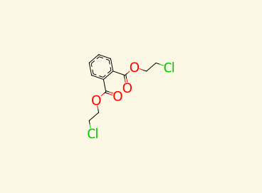 O=C(OCCCl)c1ccccc1C(=O)OCCCl